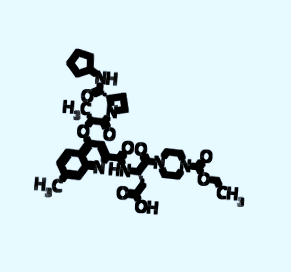 CCOC(=O)N1CCN(C(=O)[C@H](CC(=O)O)NC(=O)c2cc(O[C@@H](C)C(=O)N3CC[C@H]3C(=O)NC3CCCC3)c3ccc(C)cc3n2)CC1